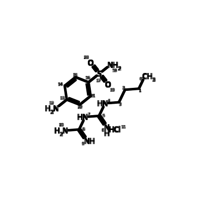 CCCCNC(=N)NC(=N)N.Cl.Nc1ccc(S(N)(=O)=O)cc1